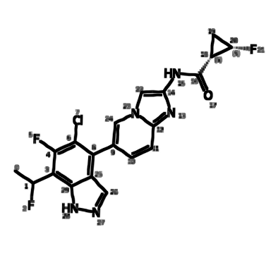 CC(F)c1c(F)c(Cl)c(-c2ccc3nc(NC(=O)[C@@H]4C[C@@H]4F)cn3c2)c2cn[nH]c12